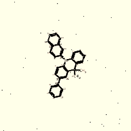 CC1(C)c2ccccc2N(c2ccc3ccccc3c2)c2ccc(-c3c[c]ccc3)cc21